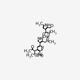 CC(=O)C(C(C)=O)c1cc(-c2cnn(C)c2CN(C)CCN(C)C(=O)c2cc(C)[nH]c2C=O)ncc1[N+](=O)[O-]